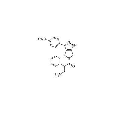 CC(=O)Nc1ccc(-c2n[nH]c3c2CN(C(=O)C(CN)c2ccccc2)C3)cc1